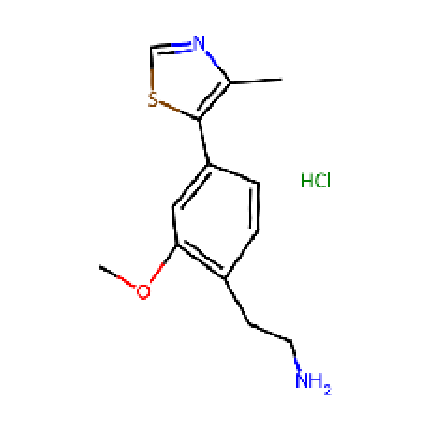 COc1cc(-c2scnc2C)ccc1CCN.Cl